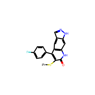 CC(C)Sc1c(-c2ccc(F)cc2)c2cc3cn[nH]c3cc2[nH]c1=O